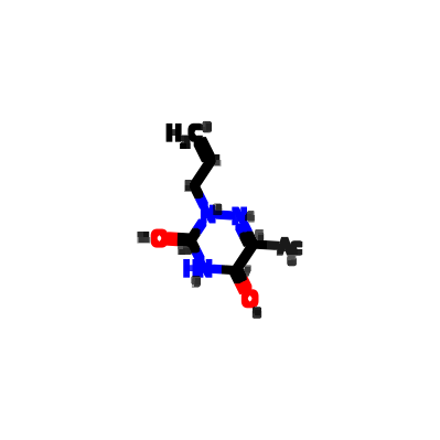 C=CCn1nc(C(C)=O)c(=O)[nH]c1=O